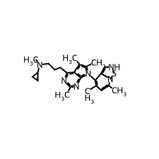 CC1=CC(C)=C(n2c(C)c(C)c3c(CCCN(C)C4CC4)nc(C)nc32)C2=CNSN12